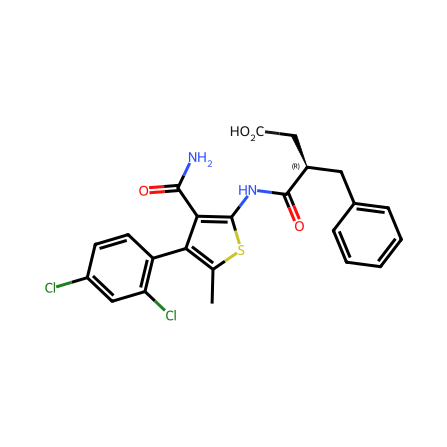 Cc1sc(NC(=O)[C@@H](CC(=O)O)Cc2ccccc2)c(C(N)=O)c1-c1ccc(Cl)cc1Cl